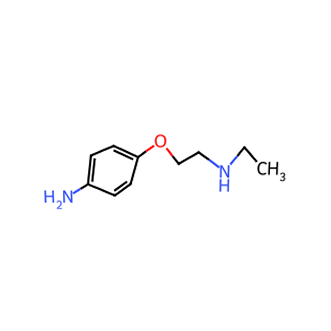 CCNCCOc1ccc(N)cc1